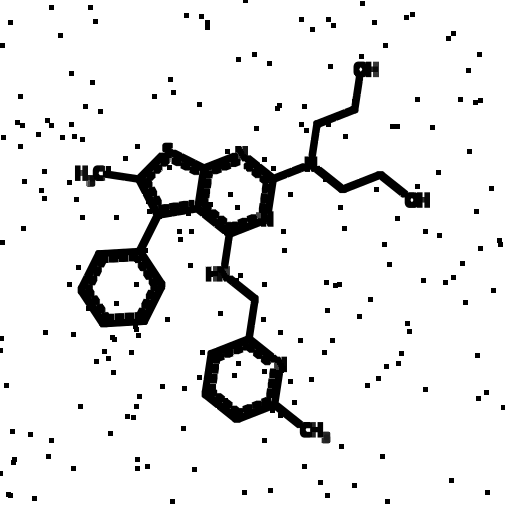 Cc1cccc(CNc2nc(N(CCO)CCO)nc3sc(C)c(-c4ccccc4)c23)n1